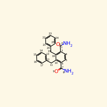 NC(=O)c1ccc(C(N)=O)c(Cc2ccccc2)c1Cc1ccccc1